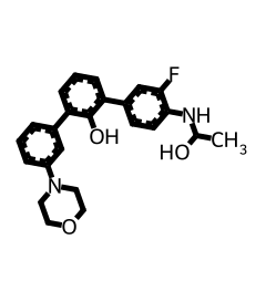 CC(O)Nc1ccc(-c2cccc(-c3cccc(N4CCOCC4)c3)c2O)cc1F